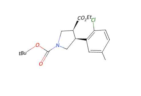 CCOC(=O)[C@@H]1CN(C(=O)OC(C)(C)C)C[C@@H]1c1cc(C)ccc1Cl